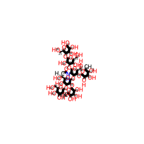 CC(=O)N[C@H]1[C@H](O[C@H]2[C@@H](O)[C@@H](CO)O[C@@H](O[C@H]3[C@H](O)[C@@H](O)[C@H](O)O[C@@H]3CO)[C@@H]2O)O[C@H](CO)[C@@H](O[C@@H]2O[C@@H](C)[C@@H](O)[C@@H](O)[C@@H]2O)[C@@H]1O[C@@H]1O[C@H](CO)[C@H](O)[C@H](O[C@H]2O[C@H](CO)[C@H](O)[C@H](O)[C@H]2O)[C@H]1O[C@@H]1O[C@@H](C)[C@@H](O)[C@@H](O)[C@@H]1O